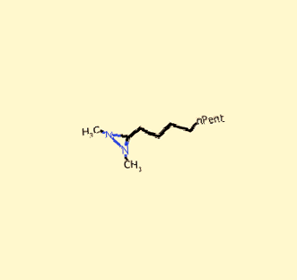 CCCCCCCCCC1N(C)N1C